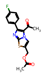 CC(=O)OCc1cn2c(C(C)=O)c(-c3ccc(F)cc3)nc2s1